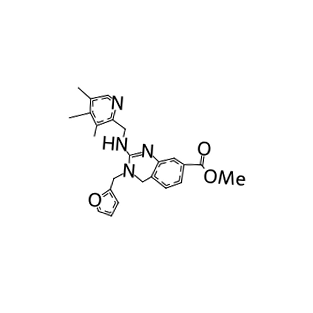 COC(=O)c1ccc2c(c1)N=C(NCc1ncc(C)c(C)c1C)N(Cc1ccco1)C2